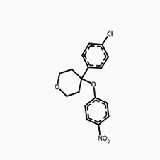 O=[N+]([O-])c1ccc(OC2(c3ccc(Cl)cc3)CCOCC2)cc1